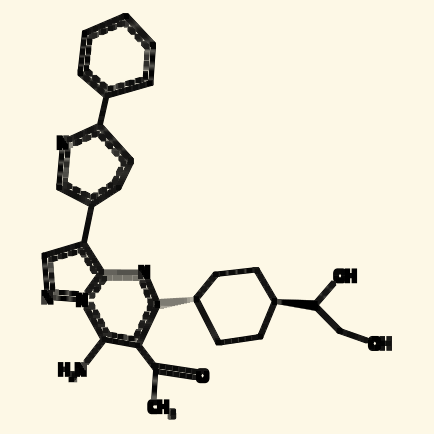 CC(=O)c1c(N)n2ncc(-c3ccc(-c4ccccc4)nc3)c2nc1[C@H]1CC[C@H](C(O)CO)CC1